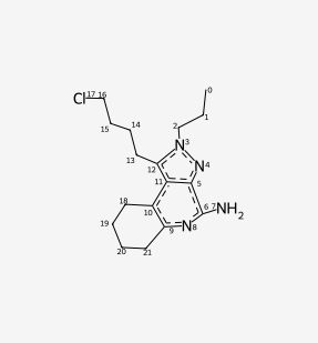 CCCn1nc2c(N)nc3c(c2c1CCCCCl)CCCC3